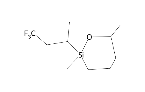 CC1CCC[Si](C)(C(C)CC(F)(F)F)O1